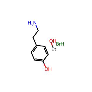 Br.CCO.NCCc1ccc(O)cc1